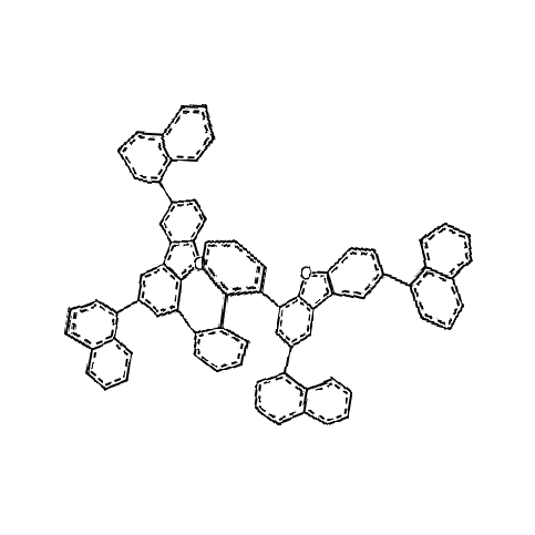 c1ccc(-c2cc(-c3cccc4ccccc34)cc3c2oc2ccc(-c4cccc5ccccc45)cc23)c(-c2ccccc2-c2cc(-c3cccc4ccccc34)cc3c2oc2ccc(-c4cccc5ccccc45)cc23)c1